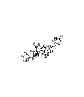 Cc1cnc(CNC(=O)c2oc3c(c2C(F)(F)F)-c2nn(C[C@H]4COCCO4)cc2[C@@H](C)C3)cn1